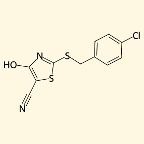 N#Cc1sc(SCc2ccc(Cl)cc2)nc1O